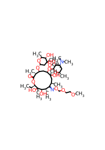 CC[C@H]1OC(=O)[C@H](C)[C@@H](O[C@H]2C[C@@](C)(OC)[C@@H](O)[C@H](C)O2)C[C@@H](O[C@@H]2O[C@H](C)C[C@H](N(C)C)[C@H]2O)[C@](C)(O)C[C@@H](C)/C(=N\OCOCCOC)[C@H](C)[C@@H](O)[C@]1(C)O